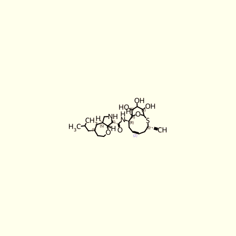 C#C[C@@H]1C/C=C\C[C@@H](NC(=O)[C@H]2NC[C@@H]3C[C@H](CC(C)C)CCO[C@H]32)[C@H]2OC(S1)[C@H](O)C(O)[C@@H]2O